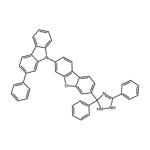 c1ccc(C2=NC(c3ccccc3)(c3ccc4c(c3)oc3cc(-n5c6ccccc6c6ccc(-c7ccccc7)cc65)ccc34)NN2)cc1